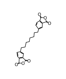 O=C1OC(=O)c2cc(CCCCCCCCc3ccc4c(c3)C(=O)OC4=O)ccc21